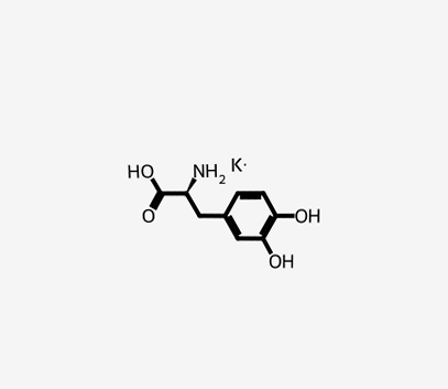 N[C@@H](Cc1ccc(O)c(O)c1)C(=O)O.[K]